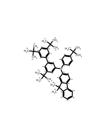 CC(C)(C)c1ccc(N(c2cc(-c3cc(C(C)(C)C)cc(C(C)(C)C)c3)cc(C(C)(C)C)c2)c2ccc3c(c2)C(C)(C)c2ccccc2-3)cc1